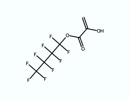 C=C(O)C(=O)OC(F)(F)C(F)(F)C(F)(F)C(F)(F)F